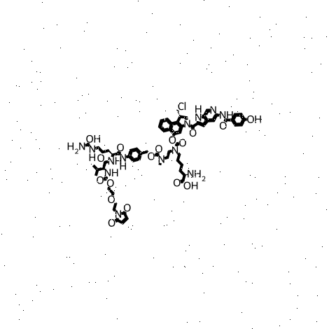 CC(C)[C@H](NC(=O)OCCOCCN1C(=O)C=CC1=O)C(=O)N[C@@H](CCCNC(N)O)C(=O)Nc1ccc(COC(=O)N(C)CCN(CCCC[C@H](N)C(=O)O)C(=O)Oc2cc3c(c4ccccc24)[C@H](CCl)CN3C(=O)c2cc3cc(NC(=O)c4ccc(O)cc4)ncc3[nH]2)cc1